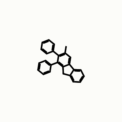 Cc1cc2c(c(-c3ccccc3)c1-c1ccccc1)Cc1ccccc1-2